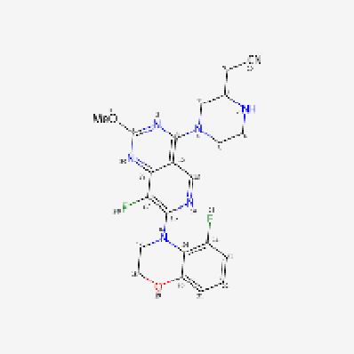 COc1nc(N2CCNC(CC#N)C2)c2cnc(N3CCOc4cccc(F)c43)c(F)c2n1